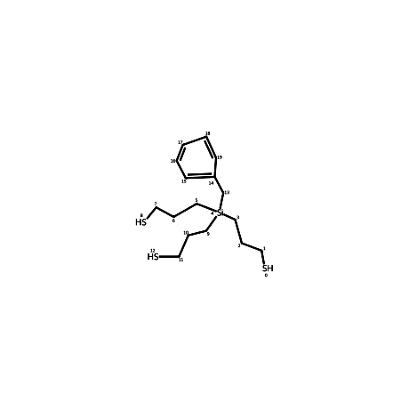 SCCC[Si](CCCS)(CCCS)Cc1ccccc1